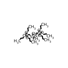 CCCO[Si](CS[Si](C)(C)SC[Si](OCCC)(OCCC)OCCC)(OCCC)OCCC